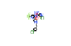 O=C(c1ccnc(Cl)c1)[NH+]([O-])c1ccc(C(F)(F)F)nc1C1CCN(CC=Cc2ccc(Cl)cc2)CC1